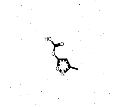 Cc1cc(OC(=O)O)on1